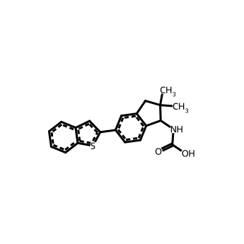 CC1(C)Cc2cc(-c3cc4ccccc4s3)ccc2C1NC(=O)O